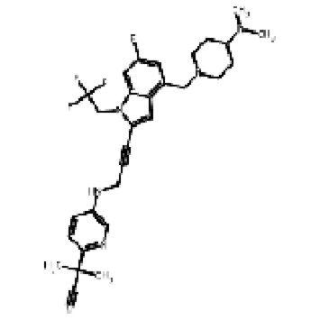 CN(C)C1CCN(Cc2cc(F)cc3c2cc(C#CCNc2ccc(C(C)(C)C#N)nc2)n3CC(F)(F)F)CC1